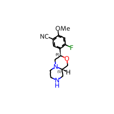 COc1cc(F)c([C@@H]2CN3CCNC[C@H]3CO2)cc1C#N